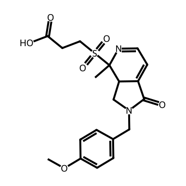 COc1ccc(CN2CC3C(=CC=NC3(C)S(=O)(=O)CCC(=O)O)C2=O)cc1